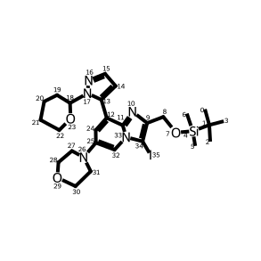 CC(C)(C)[Si](C)(C)OCc1nc2c(-c3ccnn3C3CCCCO3)cc(N3CCOCC3)cn2c1I